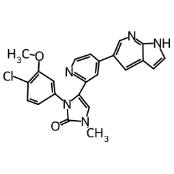 COc1cc(-n2c(-c3cc(-c4cnc5[nH]ccc5c4)ccn3)cn(C)c2=O)ccc1Cl